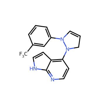 FC(F)(F)c1cccc(N2C=CCN2c2ccnc3[nH]ccc23)c1